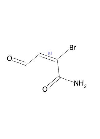 NC(=O)/C(Br)=C\C=O